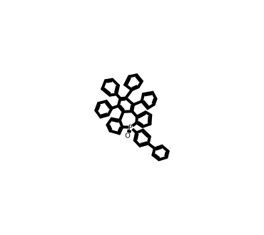 O=P1(c2ccc(-c3ccccc3)cc2)c2ccccc2-c2c(-c3ccccc3)c(-c3ccccc3)c(-c3ccccc3)c(-c3ccccc3)c2-c2ccccc21